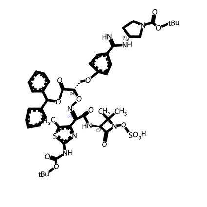 Cc1sc(NC(=O)OC(C)(C)C)nc1/C(=N/O[C@@H](COc1ccc(C(=N)N[C@@H]2CCN(C(=O)OC(C)(C)C)C2)cc1)C(=O)OC(c1ccccc1)c1ccccc1)C(=O)N[C@@H]1C(=O)N(OS(=O)(=O)O)C1(C)C